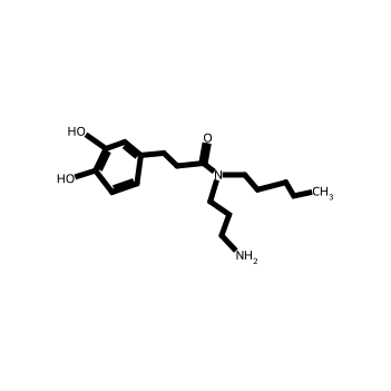 CCCCCN(CCCN)C(=O)CCc1ccc(O)c(O)c1